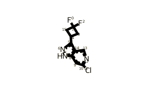 FC1(F)CC(c2n[nH]c3cc(Cl)ncc23)C1